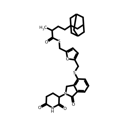 CC(CCC12CC3CC(CC(C3)C1)C2)C(=O)SCc1ccc(CSc2cccc3c2CN(C2CCC(=O)NC2=O)C3=O)o1